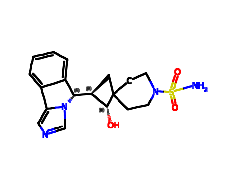 NS(=O)(=O)N1CCC2(CC1)C[C@H]([C@H]1c3ccccc3-c3cncn31)[C@H]2O